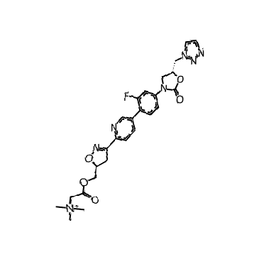 C[N+](C)(C)CC(=O)OC[C@@H]1CC(c2ccc(-c3ccc(N4C[C@H](Cn5ccnn5)OC4=O)cc3F)cn2)=NO1